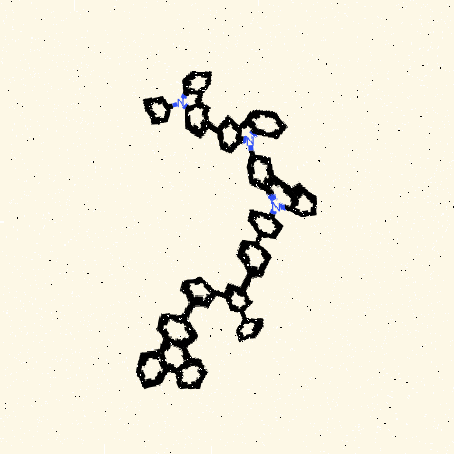 c1ccc(-c2cc(-c3ccc(-c4ccc(-n5c6ccccc6c6cc(-n7c8ccccc8c8cc(-c9ccc%10c(c9)c9ccccc9n%10-c9ccccc9)ccc87)ccc65)cc4)cc3)cc(-c3cccc(-c4ccc5c6ccccc6c6ccccc6c5c4)c3)c2)cc1